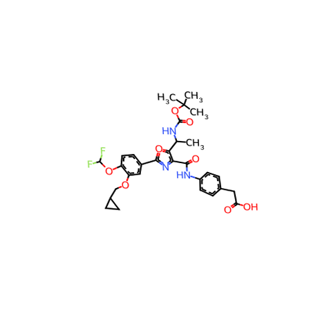 CC(NC(=O)OC(C)(C)C)c1oc(-c2ccc(OC(F)F)c(OCC3CC3)c2)nc1C(=O)Nc1ccc(CC(=O)O)cc1